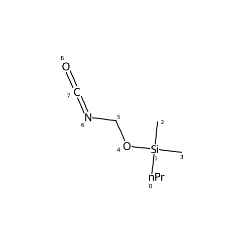 CCC[Si](C)(C)OCN=C=O